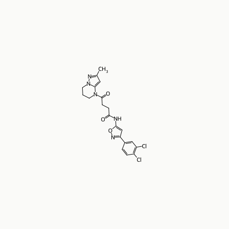 Cc1cc2n(n1)CCCN2C(=O)CCC(=O)Nc1cc(-c2ccc(Cl)c(Cl)c2)no1